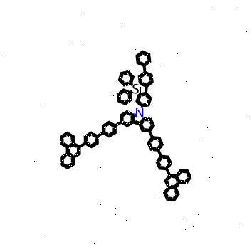 c1ccc(-c2ccc3c(c2)[Si](c2ccccc2)(c2ccccc2)c2cc(-n4c5ccc(-c6ccc(-c7ccc(-c8cc9ccccc9c9ccccc89)cc7)cc6)cc5c5cc(-c6ccc(-c7ccc(-c8cc9ccccc9c9ccccc89)cc7)cc6)ccc54)ccc2-3)cc1